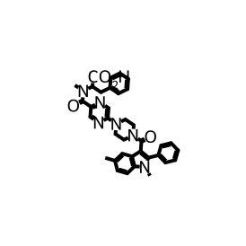 Cc1ccc2c(c1)c(C(=O)N1CCN(c3cnc(C(=O)N(C)C(Cc4ccccc4)C(=O)O)cn3)CC1)c(-c1ccccc1)n2C